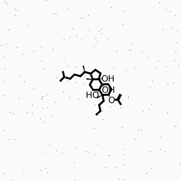 C=C(C)O[C@@H]1CC[C@]2(O)[C@](O)(CC[C@]3(C)C([C@H](C)CCCC(C)C)CC[C@@]23O)[C@@]1(C)CCCC